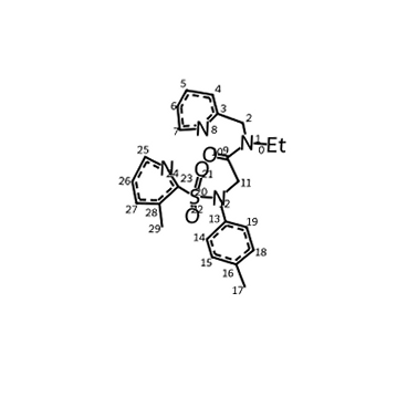 CCN(Cc1ccccn1)C(=O)CN(c1ccc(C)cc1)S(=O)(=O)c1ncccc1C